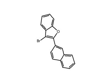 Brc1c(-c2ccc3ccccc3c2)oc2ccccc12